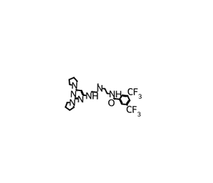 CN(CCNC(=O)c1cc(C(F)(F)F)cc(C(F)(F)F)c1)CCNc1cc(N2CCCC2)nc(N2CCCC2)n1